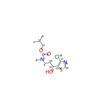 CC(C)COC(=O)N(C)CCC(O)c1scnc1Cl